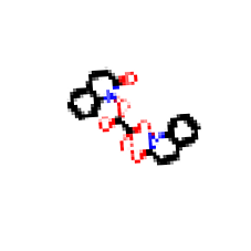 O=C(On1c(=O)ccc2ccccc21)C(=O)On1c(=O)ccc2ccccc21